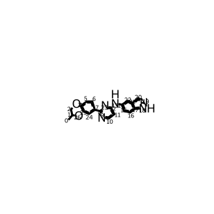 CC1COc2ccc(-c3nccc(Nc4ccc5[nH]ncc5c4)n3)cc2O1